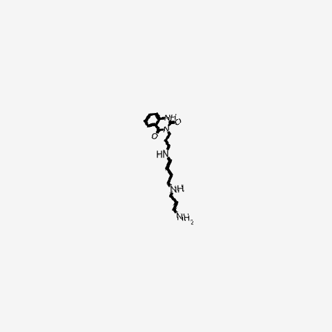 NCCCNCCCCNCCCn1c(=O)[nH]c2ccccc2c1=O